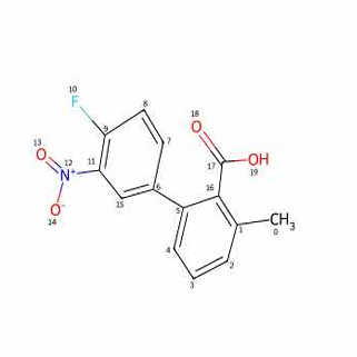 Cc1cccc(-c2ccc(F)c([N+](=O)[O-])c2)c1C(=O)O